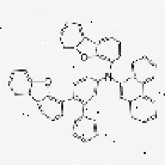 c1ccc(-c2cc(N(c3cc4ccccc4c4ccccc34)c3cccc4c3oc3ccccc34)ccc2-c2cccc3c2oc2ccccc23)cc1